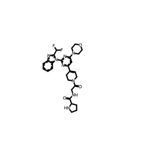 O=C(NCC(=O)N1CC=C(c2cc(N3CCOCC3)nc(-n3c(C(F)F)nc4ccccc43)n2)CC1)C1CCCN1